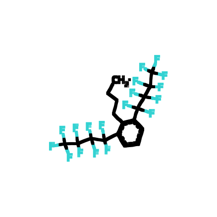 [CH2]CCCc1c(C(F)(F)C(F)(F)C(F)(F)C(F)(F)F)cccc1C(F)(F)C(F)(F)C(F)(F)C(F)(F)F